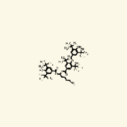 CCCCCC(NC(=O)c1cc(C(C)(C)C)c(O)c(C(C)(C)C)c1)NC(=O)c1cc(C(C)(C)C)c(OCc2cc(C(C)(C)C)c(O)c(C(C)(C)C)c2)c(C(C)(C)C)c1